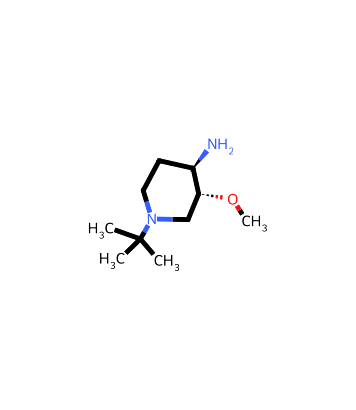 CO[C@@H]1CN(C(C)(C)C)CC[C@H]1N